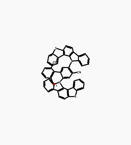 N#Cc1cc(-n2c3ccccc3c3ccc4sc5ccccc5c4c32)c(-c2c(C(F)(F)F)cccc2C(F)(F)F)cc1-n1c2ccccc2c2ccc3sc4ccccc4c3c21